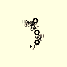 CC(C)(C)C(OP(=O)(O)O)([C@@H](NC(=O)[C@H]1CC[C@H](NS(=O)(=O)c2ccc(C(F)(F)F)cc2)CC1)c1ccccc1)C(C)(C)C